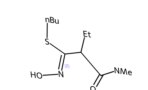 CCCCS/C(=N\O)C(CC)C(=O)NC